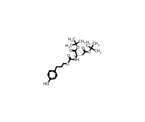 CC(C)(C)OC(=O)C[C@H](NC(=O)OCCCc1ccc(O)cc1)C(=O)OC(C)(C)C